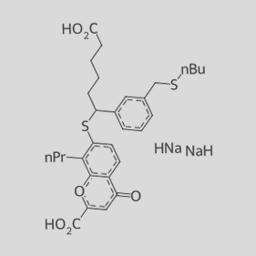 CCCCSCc1cccc(C(CCCCC(=O)O)Sc2ccc3c(=O)cc(C(=O)O)oc3c2CCC)c1.[NaH].[NaH]